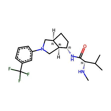 CN[C@H](C(=O)N[C@H]1CC[C@@H]2CN(c3cccc(C(F)(F)F)c3)C[C@@H]21)C(C)C